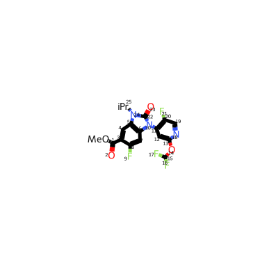 COC(=O)c1cc2c(cc1F)n(-c1cc(OC(F)F)ncc1F)c(=O)n2C(C)C